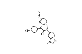 CCOc1ccc2cc(-c3ccc4ncn(C)c4c3)c(=O)n(-c3ccc(Cl)cc3)c2n1